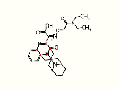 CCN(CC)C(=O)CO/N=C(\C(=O)O)c1nc2ccccc2n(C2CC3CCCC(C2)N3C2CC3CCCC(C3)C2)c1=O